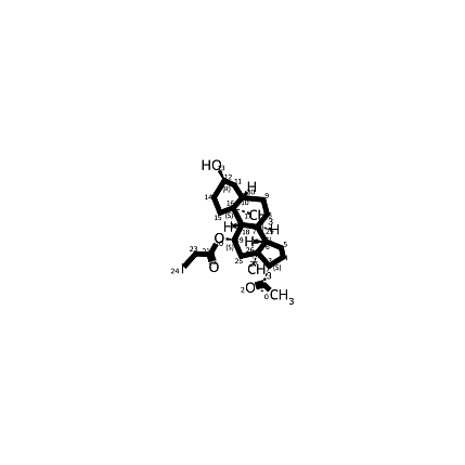 CC(=O)[C@H]1CC[C@H]2[C@@H]3CC[C@H]4C[C@H](O)CC[C@]4(C)[C@H]3[C@@H](OC(=O)CI)C[C@]12C